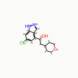 OC(CC1CCOCC1)c1cc(Cl)cc2[nH]ncc12